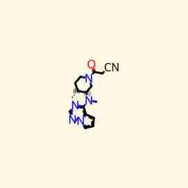 C[C@@H]1CCN(C(=O)CC#N)C[C@@H]1N(C)c1ncnn2cccc12